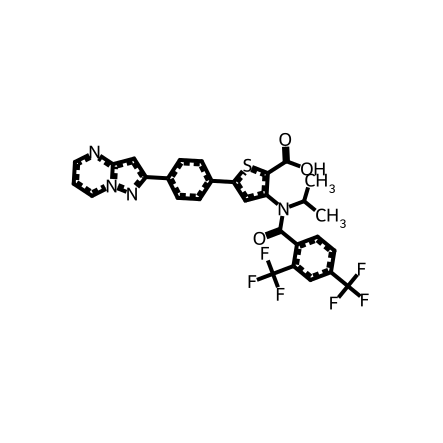 CC(C)N(C(=O)c1ccc(C(F)(F)F)cc1C(F)(F)F)c1cc(-c2ccc(-c3cc4ncccn4n3)cc2)sc1C(=O)O